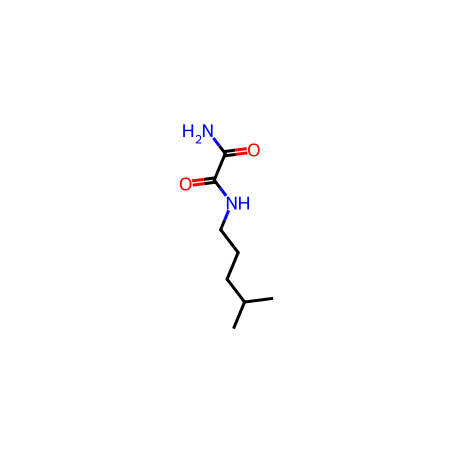 CC(C)CCCNC(=O)C(N)=O